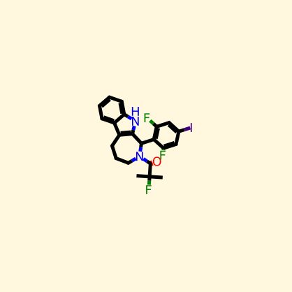 CC(C)(F)C(=O)N1CCCc2c([nH]c3ccccc23)C1c1c(F)cc(I)cc1F